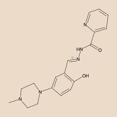 CN1CCN(c2ccc(O)c(/C=N/NC(=O)c3ccccn3)c2)CC1